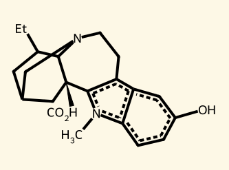 CCC1CC2CN3CCc4c(n(C)c5ccc(O)cc45)[C@](C(=O)O)(C2)C13